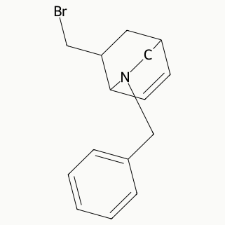 BrCC1CC2C=CC1N(Cc1ccccc1)C2